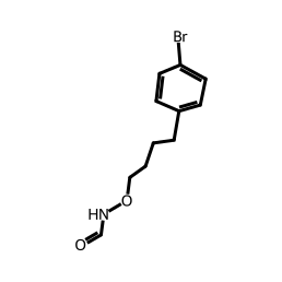 O=CNOCCCCc1ccc(Br)cc1